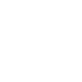 CC(O)CO.CC1CCC(C(C)C)C(OC(=O)O)C1